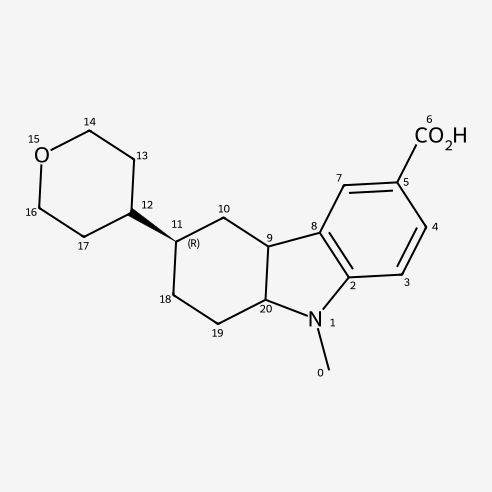 CN1c2ccc(C(=O)O)cc2C2C[C@H](C3CCOCC3)CCC21